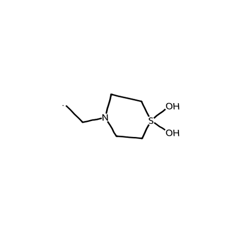 [CH2]CN1CCS(O)(O)CC1